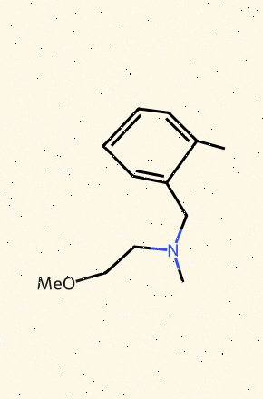 COCCN(C)Cc1ccccc1C